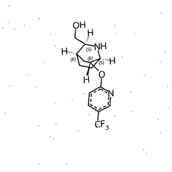 OC[C@H]1N[C@H]2CC[C@@H]1C[C@H]2Oc1ccc(C(F)(F)F)cn1